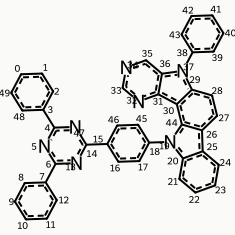 c1ccc(-c2nc(-c3ccccc3)nc(-c3ccc(-n4c5ccccc5c5ccc6c(c7ncncc7n6-c6ccccc6)c54)cc3)n2)cc1